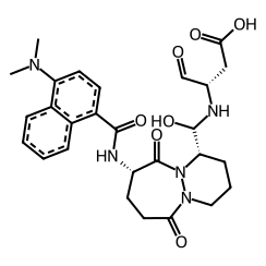 CN(C)c1ccc(C(=O)N[C@H]2CCC(=O)N3CCC[C@@H](C(O)N[C@H](C=O)CC(=O)O)N3C2=O)c2ccccc12